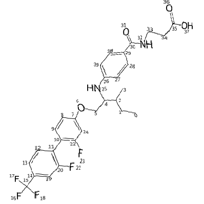 CCC(C)C(COc1ccc(-c2ccc(C(F)(F)F)cc2F)c(F)c1)Nc1ccc(C(=O)NCCC(=O)O)cc1